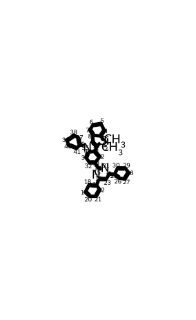 C[Si]1(C)c2ccccc2-c2c1c1cc(-c3nc(-c4ccccc4)cc(-c4ccccc4)n3)ccc1n2-c1ccccc1